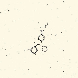 CCCOC(=O)c1ccc2c(c1)OC(c1cc(Cl)cc(Cl)c1)N2N1CCCC1